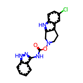 O=C(Nc1n[nH]c2ccccc12)ON1CCc2c([nH]c3ccc(Cl)cc23)C1